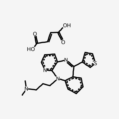 CN(C)CCCN1c2ccccc2C(c2ccsc2)=Nc2cccnc21.O=C(O)C=CC(=O)O